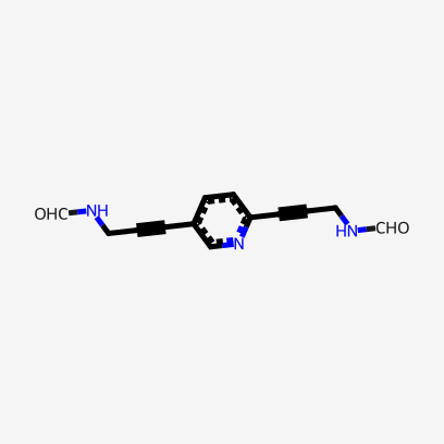 O=CNCC#Cc1ccc(C#CCNC=O)nc1